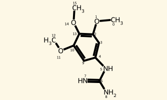 COc1cc(NC(=N)N)cc(OC)c1OC